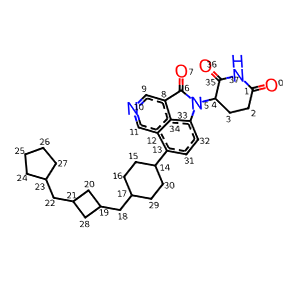 O=C1CCC(N2C(=O)c3cncc4c(C5CCC(CC6CC(CC7CCCC7)C6)CC5)ccc2c34)C(=O)N1